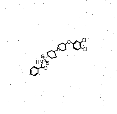 O=C(NS(=O)(=O)[C@H]1CC[C@H](N2CCC(Oc3ccc(Cl)c(Cl)c3)CC2)CC1)c1ccccc1